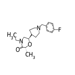 CCN1C[C@@H](C2CCN(Cc3ccc(F)cc3)CC2)O[C@H](C)C1=O